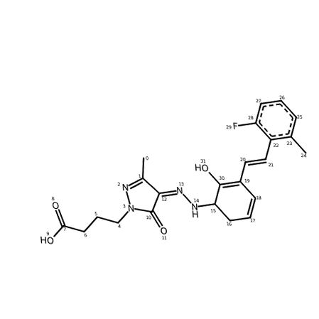 CC1=NN(CCCC(=O)O)C(=O)/C1=N\NC1CC=CC(/C=C/c2c(C)cccc2F)=C1O